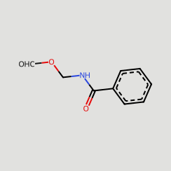 O=COCNC(=O)c1ccccc1